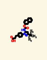 CC(C)(C)c1cc(NC(=O)Oc2ccc3ccccc3c2)n(-c2ccc(CCC(=O)O)cc2)n1